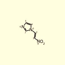 O=[N+]([O-])/C=C/n1ccnc1